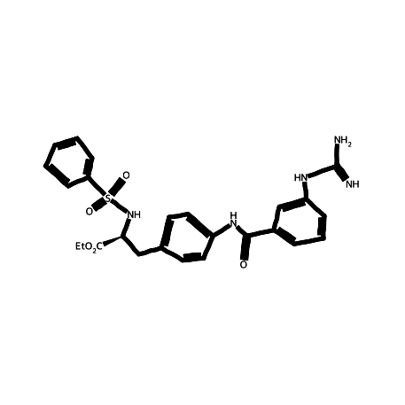 CCOC(=O)[C@H](Cc1ccc(NC(=O)c2cccc(NC(=N)N)c2)cc1)NS(=O)(=O)c1ccccc1